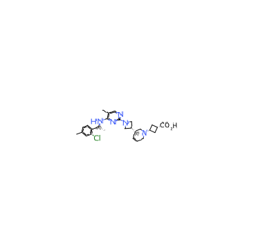 Cc1ccc([C@@H](C)Nc2nc(N3CC([C@H]4CCCN([C@H]5C[C@@H](C(=O)O)C5)C4)C3)ncc2C)c(Cl)c1